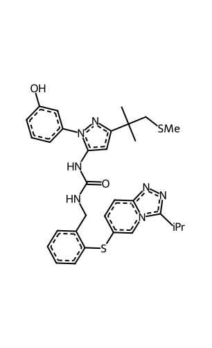 CSCC(C)(C)c1cc(NC(=O)NCc2ccccc2Sc2ccc3nnc(C(C)C)n3c2)n(-c2cccc(O)c2)n1